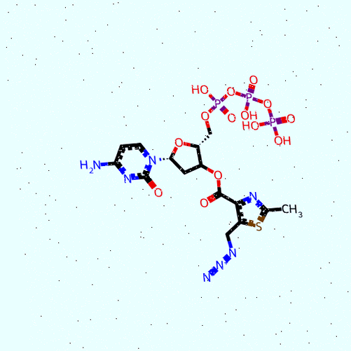 Cc1nc(C(=O)OC2C[C@H](n3ccc(N)nc3=O)O[C@@H]2COP(=O)(O)OP(=O)(O)OP(=O)(O)O)c(CN=[N+]=[N-])s1